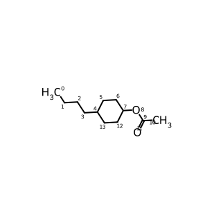 CCCCC1CCC(OC(C)=O)CC1